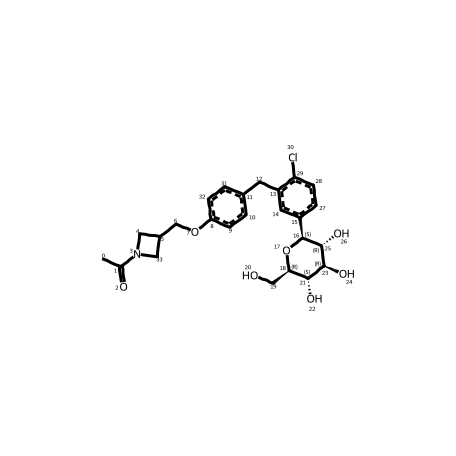 CC(=O)N1CC(COc2ccc(Cc3cc([C@@H]4O[C@H](CO)[C@@H](O)[C@H](O)[C@H]4O)ccc3Cl)cc2)C1